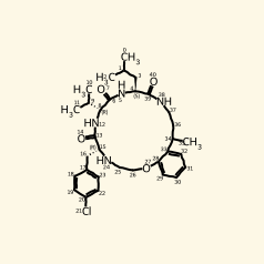 CC(C)C[C@@H]1NC(=O)[C@@H](C(C)C)NC(=O)[C@@H](Cc2ccc(Cl)cc2)NCCOc2ccccc2C(C)CCNC1=O